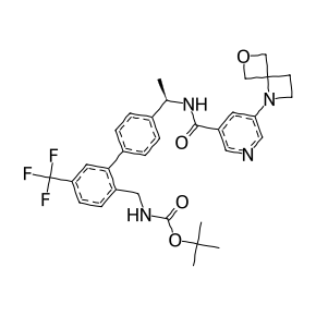 C[C@@H](NC(=O)c1cncc(N2CCC23COC3)c1)c1ccc(-c2cc(C(F)(F)F)ccc2CNC(=O)OC(C)(C)C)cc1